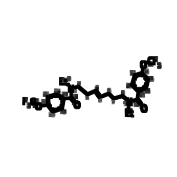 CCN(CC/C=C/CCCN(CC)C(=O)c1ccc(OC(F)(F)F)cc1)C(=O)c1ccc(OC(F)(F)F)cc1